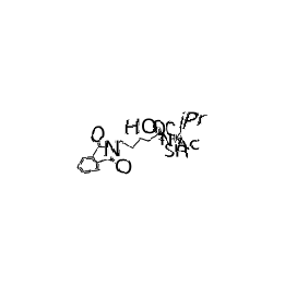 CC(=O)[C@](CC(C)C)(C(=O)O)N(S)C(=O)CCCCN1C(=O)c2ccccc2C1=O